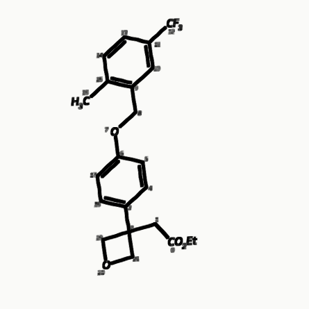 CCOC(=O)CC1(c2ccc(OCc3cc(C(F)(F)F)ccc3C)cc2)COC1